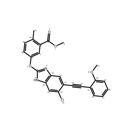 COC(=O)c1cc(Oc2nc3cc(C#Cc4ccccc4OC)c(Cl)cc3[nH]2)ccc1C